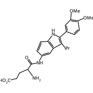 COc1ccc(-c2[nH]c3ccc(NC(=O)C(N)CCC(=O)O)cc3c2C(C)C)cc1OC